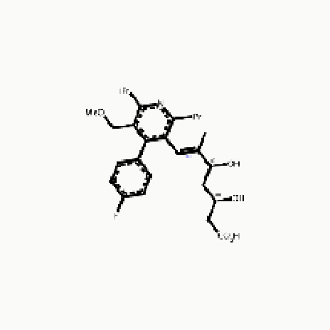 COCc1c(C(C)C)nc(C(C)C)c(/C=C(\C)[C@@H](O)C[C@@H](O)CC(=O)O)c1-c1ccc(F)cc1